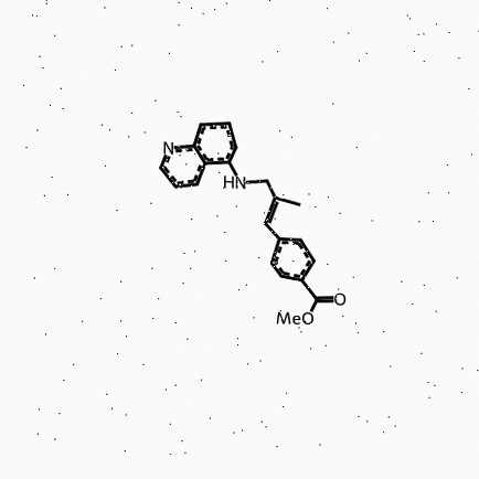 COC(=O)c1ccc(C=C(C)CNc2cccc3ncccc23)cc1